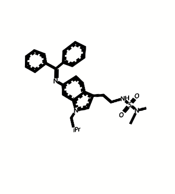 CC(C)Cn1cc(CCNS(=O)(=O)N(C)C)c2ccc(N=C(c3ccccc3)c3ccccc3)cc21